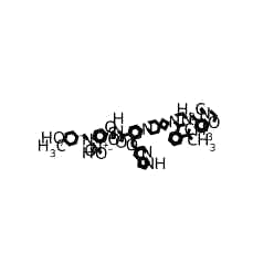 CC(C)c1ccccc1C1CN(Cc2cccc3c2N(C)CCO3)CCN1C1CC2(CCN(c3ccc(C(=O)NS(=O)(=O)c4ccc(NC[C@H]5CC[C@](C)(O)CC5)c([N+](=O)[O-])c4)c(Oc4cnc5[nH]ccc5c4)c3)CC2)C1